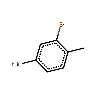 Cc1ccc(C(C)(C)C)cc1[S]